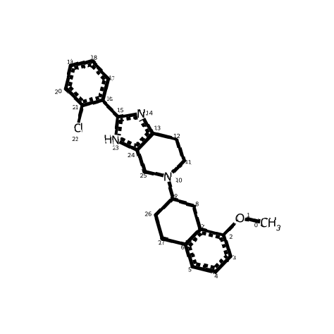 COc1cccc2c1CC(N1CCc3nc(-c4ccccc4Cl)[nH]c3C1)CC2